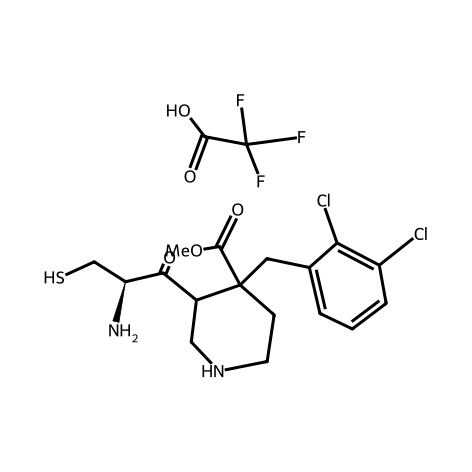 COC(=O)C1(Cc2cccc(Cl)c2Cl)CCNCC1C(=O)[C@@H](N)CS.O=C(O)C(F)(F)F